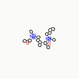 c1ccc(-c2nc(-c3ccc4oc5ccccc5c4c3)nc(-c3cccc4c3ccc3c5ccccc5c(-c5cc(-c6nc(-c7ccccc7)nc(-c7cccc8c7ccc7c9ccccc9ccc87)n6)c6oc7ccccc7c6c5)cc43)n2)cc1